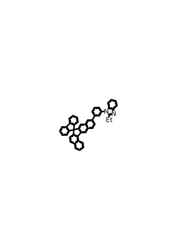 CCc1nc2ccccc2n1-c1cccc(-c2ccc3cc4c(cc3c2)C2(c3ccccc3-c3ccccc32)c2ccc3ccccc3c2-4)c1